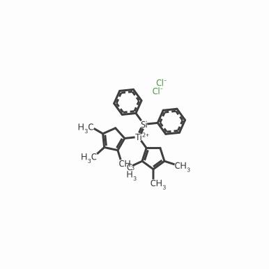 CC1=C(C)C(C)=[C]([Ti+2]([C]2=C(C)C(C)=C(C)C2)=[Si](c2ccccc2)c2ccccc2)C1.[Cl-].[Cl-]